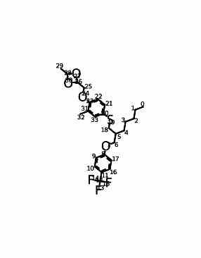 CCCCCC(COc1ccc(C(F)(F)F)cc1)CSc1ccc(OCC2OC(C)O2)c(C)c1